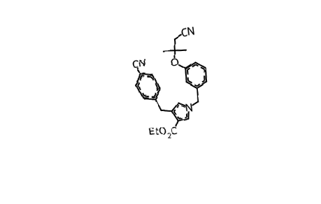 CCOC(=O)c1cn(Cc2cccc(OC(C)(C)CC#N)c2)cc1Cc1ccc(C#N)cc1